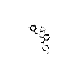 CCC(c1ccc(C(F)(F)F)cc1CN(Cc1cc(C(F)(F)F)cc(C(F)(F)F)c1)c1nnn(C)n1)N1CCN(C)CC1